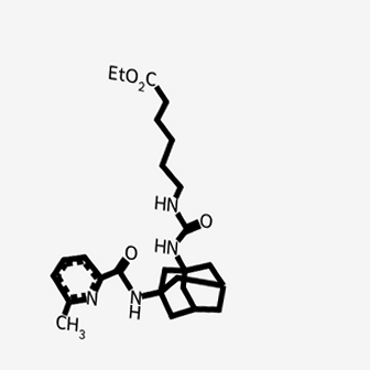 CCOC(=O)CCCCCNC(=O)NC12CC3CC(C1)CC(NC(=O)c1cccc(C)n1)(C3)C2